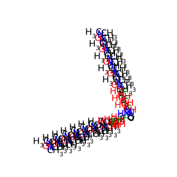 CN(C)C(=O)N(C)C.CN(C)C(=O)N(C)C.CN(C)C(=O)N(C)C.CN(C)C(=O)N(C)C.CN(C)C(=O)N(C)C.CN(C)C(=O)N(C)C.CN(C)C(=O)N(C)C.CN(C)C(=O)N(C)C.CN(C)C(=O)N(C)C.CN(C)C(=O)N(C)C.CN(C)C(=O)N(C)C.CN(C)C(=O)N(C)C.OB(O)F.OB(O)F.OB(O)F.OB(O)F.OB(O)F.OB(O)F.c1ccc2[nH]nnc2c1